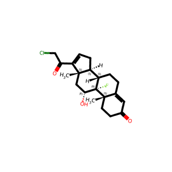 C[C@]12CCC(=O)C=C1CC[C@H]1[C@@H]3CC=C(C(=O)CCl)[C@@]3(C)C[C@@H](O)[C@@]12F